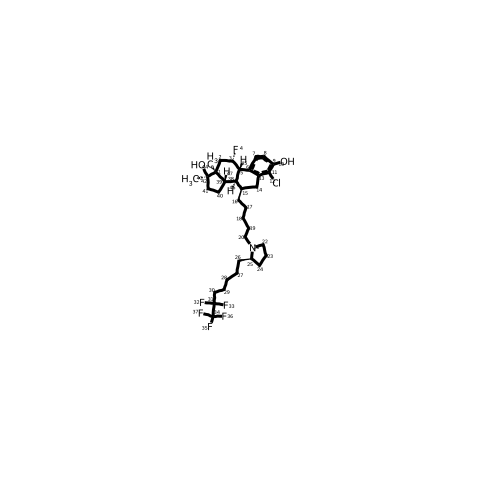 C[C@]12C[C@H](F)[C@@H]3c4ccc(O)c(Cl)c4C[C@@H](CCCCCN4CCC[C@H]4CCCCCC(F)(F)C(F)(F)F)[C@H]3[C@@H]1CC[C@@]2(C)O